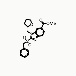 COC(=O)c1ccc2nc(S(=O)(=O)Cc3ccccc3)n(C[C@@H]3CCCO3)c2c1